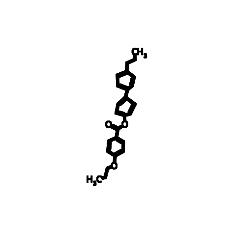 CCCOc1ccc(C(=O)Oc2ccc(-c3ccc(CCC)cc3)cc2)cc1